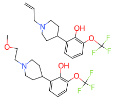 C=CCN1CCC(c2cccc(OC(F)(F)F)c2O)CC1.COCCN1CCC(c2cccc(OC(F)(F)F)c2O)CC1